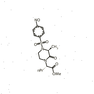 CCC[C@@H](C(=O)OC)N1CCN(S(=O)(=O)c2ccc(N=O)cc2)[C@@H](C)C1=O